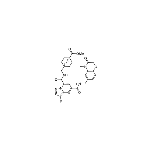 COC(=O)C12CCC(CNC(=O)c3cc(C(=O)NCc4ccc5c(c4)N(C)C(=O)CO5)nc4c(F)cnn34)(CC1)CC2